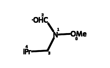 CON([C]=O)CC(C)C